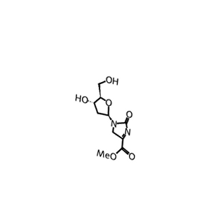 COC(=O)C1=NC(=O)N([C@H]2C[C@H](O)[C@@H](CO)O2)C1